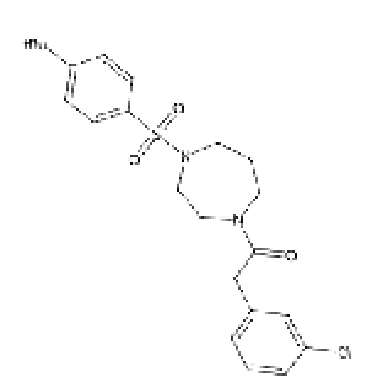 CC(C)(C)c1ccc(S(=O)(=O)N2CCCN(C(=O)Cc3cccc(Cl)c3)CC2)cc1